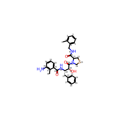 Cc1ccccc1CNC(=O)C1CSCN1C(=O)[C@@H](O)[C@H](Cc1ccccc1)NC(=O)c1cccc(N)c1C